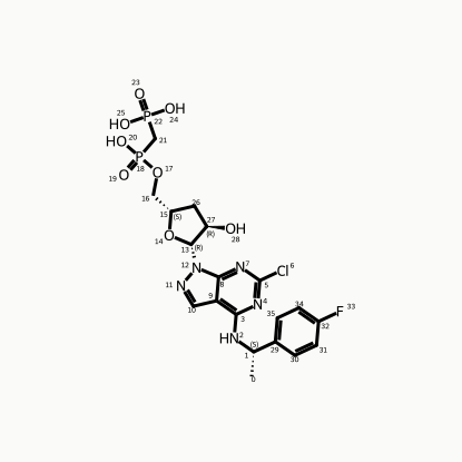 C[C@H](Nc1nc(Cl)nc2c1cnn2[C@@H]1O[C@H](COP(=O)(O)CP(=O)(O)O)C[C@H]1O)c1ccc(F)cc1